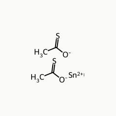 CC([O-])=S.CC([O-])=S.[Sn+2]